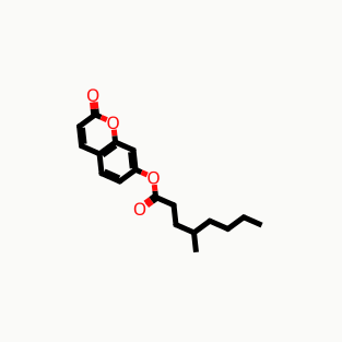 CCCCC(C)CCC(=O)Oc1ccc2ccc(=O)oc2c1